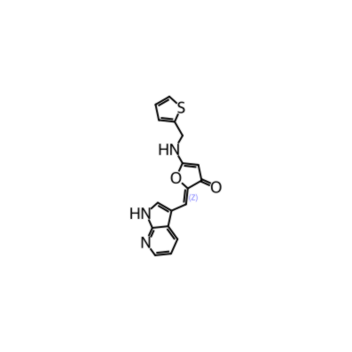 O=C1C=C(NCc2cccs2)O/C1=C\c1c[nH]c2ncccc12